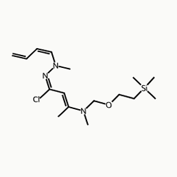 C=C/C=C\N(C)/N=C(Cl)\C=C(/C)N(C)COCC[Si](C)(C)C